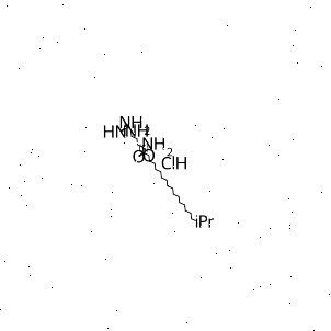 CC(C)CCCCCCCCCCCCCCCOC(=O)[C@@H](N)CCCNC(=N)N.Cl